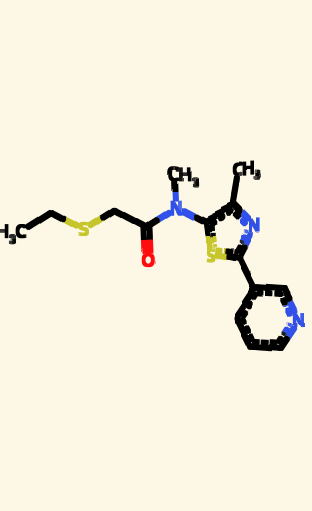 CCSCC(=O)N(C)c1sc(-c2cccnc2)nc1C